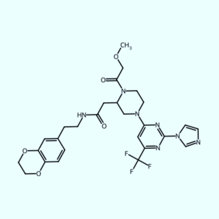 COCC(=O)N1CCN(c2cc(C(F)(F)F)nc(-n3ccnc3)n2)CC1CC(=O)NCCc1ccc2c(c1)OCCO2